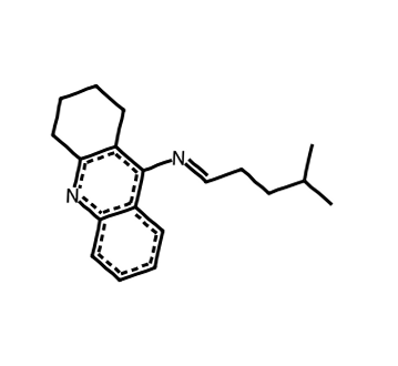 CC(C)CCC=Nc1c2c(nc3ccccc13)CCCC2